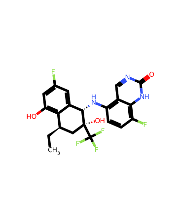 CC[C@@H]1C[C@](O)(C(F)(F)F)[C@@H](Nc2ccc(F)c3[nH]c(=O)ncc23)c2cc(F)cc(O)c21